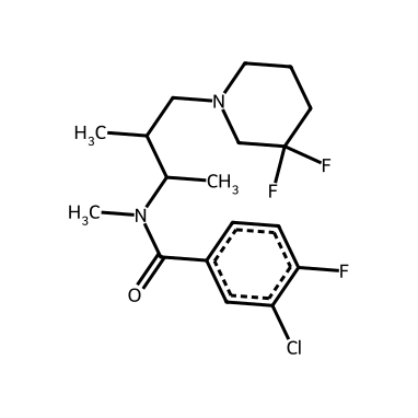 CC(CN1CCCC(F)(F)C1)C(C)N(C)C(=O)c1ccc(F)c(Cl)c1